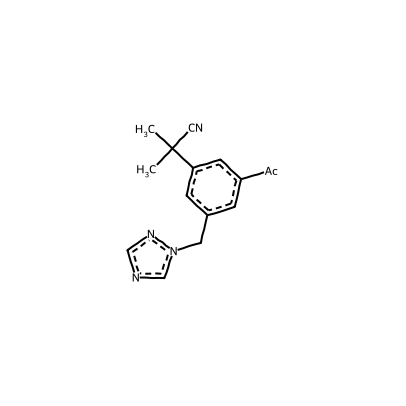 CC(=O)c1cc(Cn2cncn2)cc(C(C)(C)C#N)c1